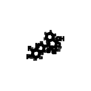 CC1(O)c2ccccc2N(c2cnc3c(F)c(F)ccc3c2)S(=O)(=O)C1(C)C